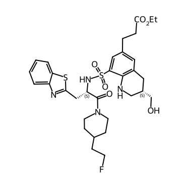 CCOC(=O)CCc1cc2c(c(S(=O)(=O)N[C@@H](Cc3nc4ccccc4s3)C(=O)N3CCC(CCF)CC3)c1)NC[C@@H](CO)C2